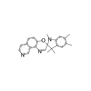 Cc1cc2c(cc1C)C(C)(C)C1(C=Nc3c(ccc4ccncc34)O1)N2C